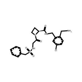 NCc1ccc(Cl)cc1CNC(=O)[C@@H]1CCN1C(=O)CNS(=O)(=O)Cc1ccccc1